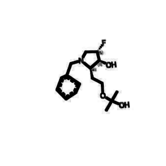 CC(C)(O)OCC[C@@H]1[C@H](O)[C@@H](F)CN1Cc1ccccc1